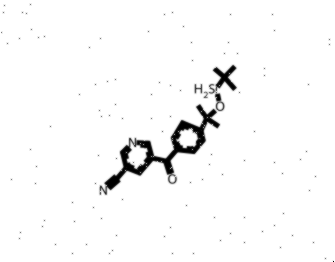 CC(C)(C)[SiH2]OC(C)(C)c1ccc(C(=O)c2cncc(C#N)c2)cc1